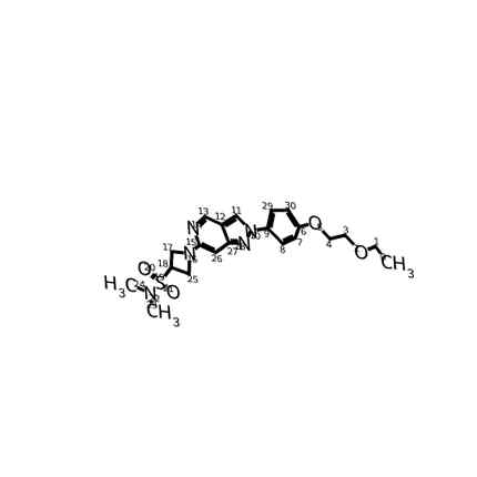 CCOCCOc1ccc(-n2cc3cnc(N4CC(S(=O)(=O)N(C)C)C4)cc3n2)cc1